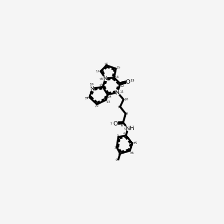 Cc1ccc(NC(=O)CCCn2c(=O)c3cccn3c3ncccc32)cc1